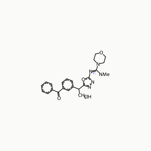 CN/C(=N\c1nnc(C(C)c2cccc(C(=O)c3ccccc3)c2)o1)N1CCOCC1.Cl